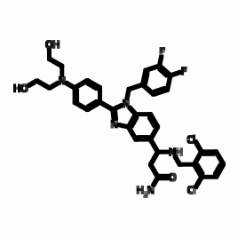 NC(=O)CC(NCc1c(Cl)cccc1Cl)c1ccc2c(c1)nc(-c1ccc(N(CCO)CCO)cc1)n2Cc1ccc(F)c(F)c1